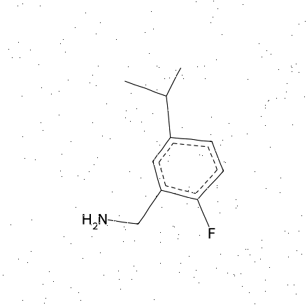 CC(C)c1ccc(F)c(CN)c1